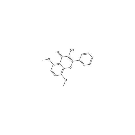 COc1ccc(OC)c2c(=O)c(S)c(-c3ccccc3)oc12